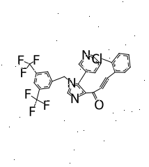 O=C(C#Cc1ccccc1Cl)c1ncn(Cc2cc(C(F)(F)F)cc(C(F)(F)F)c2)c1-c1cccnc1